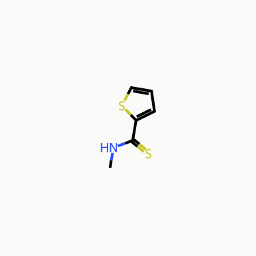 CNC(=S)c1cccs1